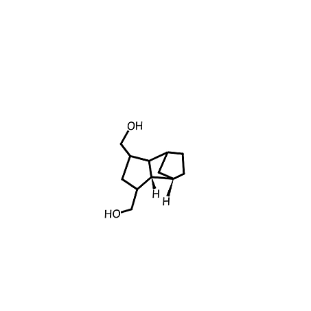 OCC1CC(CO)[C@@H]2C1C1CC[C@H]2C1